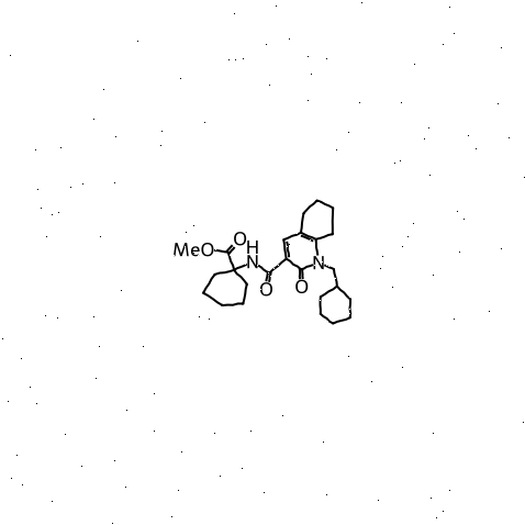 COC(=O)C1(NC(=O)c2cc3c(n(CC4CCCCC4)c2=O)CCCC3)CCCCC1